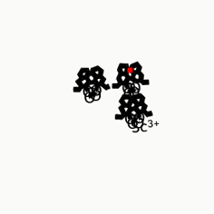 C=Cc1cc2ccccc2c2c1OP(=O)([O-])Oc1c(C=C)cc3ccccc3c1-2.C=Cc1cc2ccccc2c2c1OP(=O)([O-])Oc1c(C=C)cc3ccccc3c1-2.C=Cc1cc2ccccc2c2c1OP(=O)([O-])Oc1c(C=C)cc3ccccc3c1-2.[Sc+3]